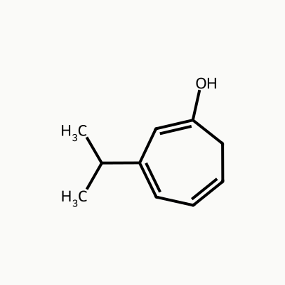 CC(C)C1=CC=CCC(O)=C1